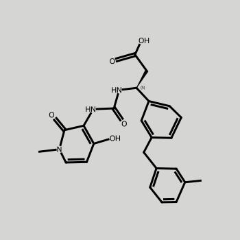 Cc1cccc(Cc2cccc([C@H](CC(=O)O)NC(=O)Nc3c(O)ccn(C)c3=O)c2)c1